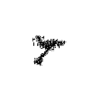 CC(CCP(=O)(O)O)C(O)C(O)C(O)C(O)OCC(NC(=O)CCOCCOCCC(=O)Oc1c(F)c(F)cc(F)c1F)C(=O)NC(COC1OC(CCP(=O)(O)O)C(O)C(O)C1O)C(=O)O